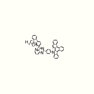 CC1(C)c2ccccc2-c2ccc(-c3nc(-c4ccc(-n5c6ccccc6c6c7ccccc7c7c8ccccc8sc7c65)cc4)nc4cccnc34)cc21